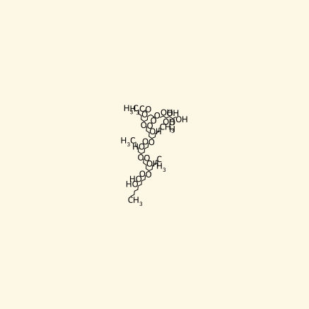 CCCCCC(O)CC(O)CC(=O)OC(CCCCC)CC(O)CC(=O)OC(CCCCC)CC(O)CC(=O)OC(CCCCC)CC(O)CC(=O)OC(CCCCC)CC(CC(=O)OCC(O)C(O)C(O)C(O)CO)OC(C)=O